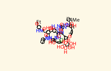 CCOc1ccc(NC(=O)Cc2cc(O)c3c(c2)[C@@H](C(=O)NC2C4CC5CC(C4)CC2C5)NC(=O)[C@H]2NC(=O)[C@H](NC(=O)[C@@H]4NC(=O)[C@H](CC(N)=O)NC(=O)[C@H](NC(=O)[C@@H](CC(C)C)NC)[C@H](O)c5ccc(c(C)c5)Oc5cc4cc(c5O[C@@H]4O[C@H](CO)[C@@H](O)[C@H](O)[C@H]4O)Oc4ccc(cc4Cl)[C@H]2O)c2ccc(O)c-3c2)cc1